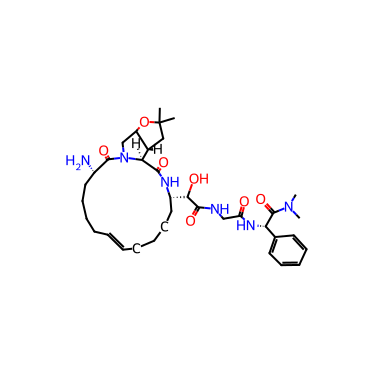 CN(C)C(=O)[C@@H](NC(=O)CNC(=O)C(O)[C@@H]1CCCC/C=C/CCCC[C@H](N)C(=O)N2CC3OC(C)(C)C[C@@H]3[C@H]2C(=O)N1)c1ccccc1